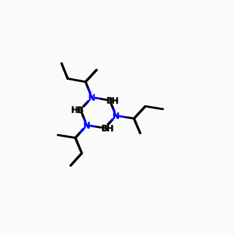 CCC(C)N1BN(C(C)CC)BN(C(C)CC)B1